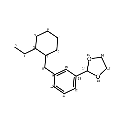 CCC1CCCCC1Cc1cccc(C2OCCO2)c1